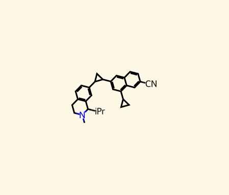 CC(C)C1c2cc(C3CC3c3cc(C4CC4)c4cc(C#N)ccc4c3)ccc2CCN1C